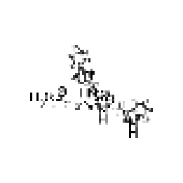 CCC(=O)CCCCC[C@H](NC(=O)CCc1c[nH]c2ccccc12)C(=O)NCc1csc(-c2ccccc2)n1